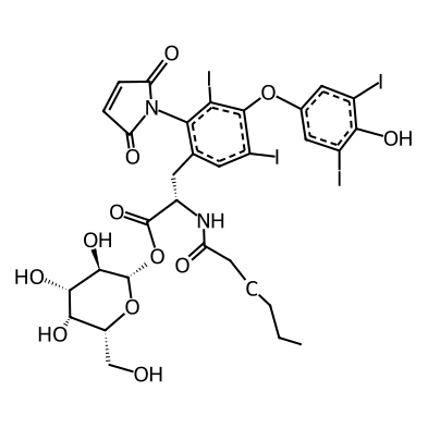 CCCCCC(=O)N[C@@H](Cc1cc(I)c(Oc2cc(I)c(O)c(I)c2)c(I)c1N1C(=O)C=CC1=O)C(=O)O[C@@H]1O[C@H](CO)[C@H](O)[C@H](O)[C@H]1O